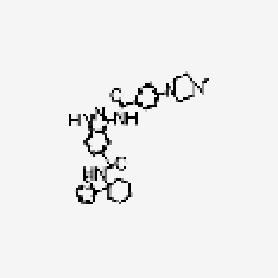 CN1CCN(c2ccc(C(=O)Nc3n[nH]c4ccc(C(=O)NC5(c6cccs6)CCCCC5)cc34)cc2)CC1